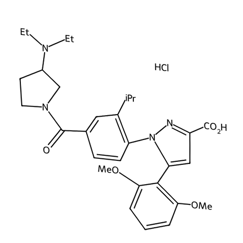 CCN(CC)C1CCN(C(=O)c2ccc(-n3nc(C(=O)O)cc3-c3c(OC)cccc3OC)c(C(C)C)c2)C1.Cl